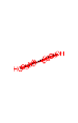 O=C(CCCCCCCCC(=O)OCCOCCOCCOCCO)OCCOCCOCCOCCO